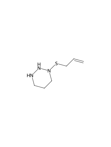 C=CCSN1CCCNN1